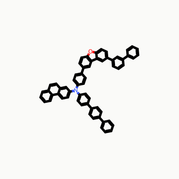 c1ccc(-c2ccc(-c3ccc(N(c4ccc(-c5ccc6oc7ccc(-c8cccc(-c9ccccc9)c8)cc7c6c5)cc4)c4ccc5c(ccc6ccccc65)c4)cc3)cc2)cc1